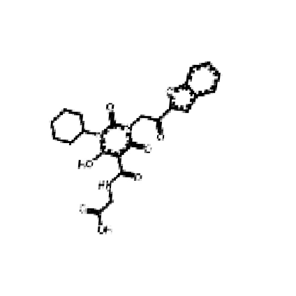 O=C(O)CNC(=O)c1c(O)n(C2CCCCC2)c(=O)n(CC(=O)c2cc3ccccc3o2)c1=O